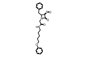 O=S=C1C(=O)N(CC(=O)NCCCCCOc2ccccc2)C1Cc1ccccc1